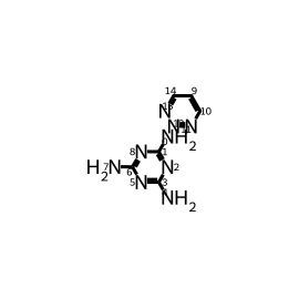 Nc1nc(N)nc(N)n1.c1cnnnc1